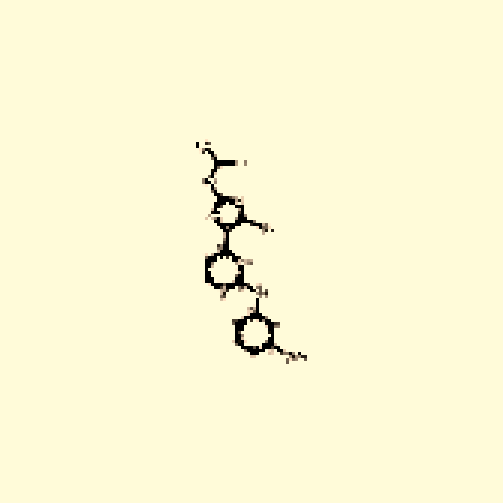 CCC(C)c1nc(NC(=O)C(F)(F)F)sc1-c1ccnc(Nc2cccc(OC)c2)n1